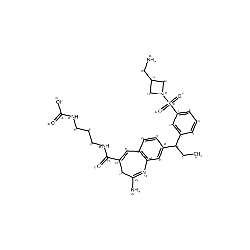 CCC(c1cccc(S(=O)(=O)N2CC(CN)C2)c1)c1ccc2c(c1)N=C(N)CC(C(=O)NCCCNC(=O)O)=C2